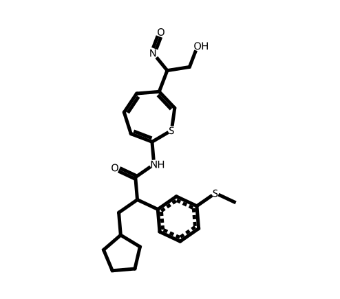 CSc1cccc(C(CC2CCCC2)C(=O)NC2=CC=CC(C(CO)N=O)=CS2)c1